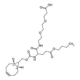 CCCCOC(=O)CCC(NC(=O)OCC1[C@H]2CCC#CCC[C@@H]12)C(=O)NCCOCCOCCC(=O)O